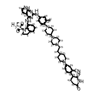 CS(=O)(=O)N1CCc2cccc(Nc3nc(Nc4ccc(N5CCC(N6CCN(CCC7CCN(c8ccc(C9CCC(=O)NC9=O)c(C#N)c8)CC7)CC6)CC5)c(F)c4)nc4[nH]ccc34)c21